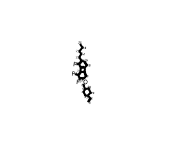 C=CC1CCC(COc2cc3c(c(F)c2F)-c2c-3ccc(CCCCC)c2F)CC1